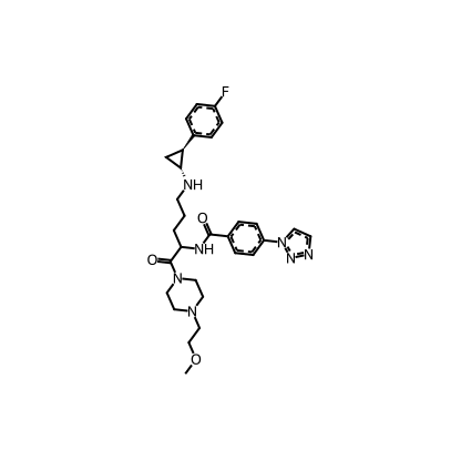 COCCN1CCN(C(=O)C(CCCN[C@@H]2C[C@H]2c2ccc(F)cc2)NC(=O)c2ccc(-n3ccnn3)cc2)CC1